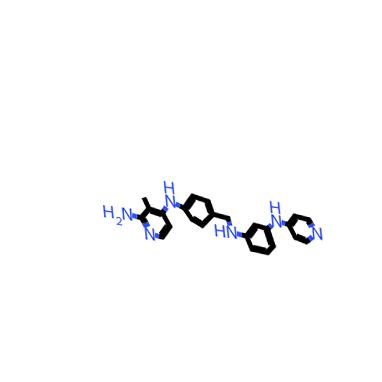 Cc1c(Nc2ccc(CNc3cccc(Nc4ccncc4)c3)cc2)ccnc1N